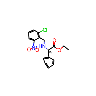 CCOC(=O)[C@@H](NCc1c(Cl)cccc1[N+](=O)[O-])c1ccccc1